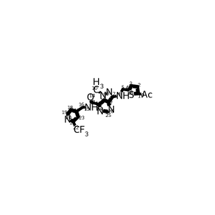 CC(=O)c1ccc(CNc2nn(C)c3c(C(=O)NCc4ccnc(C(F)(F)F)c4)ncnc23)s1